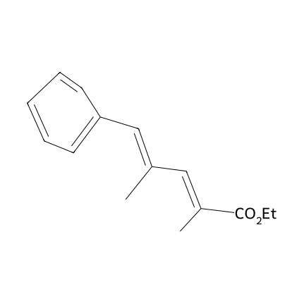 CCOC(=O)/C(C)=C/C(C)=C/c1ccccc1